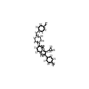 Fc1ccc(CN2CCN(c3ccc4nc(-c5ccc(F)cc5)c(C5CC5)n4n3)CC2)cc1